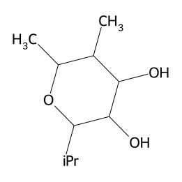 CC(C)C1OC(C)C(C)C(O)C1O